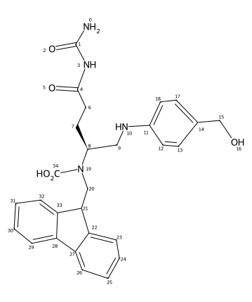 NC(=O)NC(=O)CC[C@@H](CNc1ccc(CO)cc1)N(CC1c2ccccc2-c2ccccc21)C(=O)O